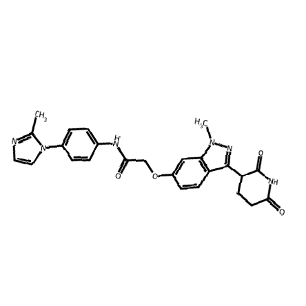 Cc1nccn1-c1ccc(NC(=O)COc2ccc3c(C4CCC(=O)NC4=O)nn(C)c3c2)cc1